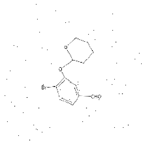 O=Cc1ccc(Br)c(OC2CCCCO2)c1